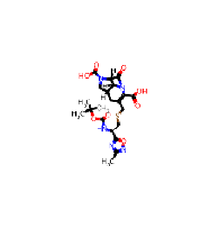 Cc1noc([C@H](CSCC2=C(C(=O)O)N3C(=O)[C@@H]4[C@H]3[C@H](C2)CN4C(=O)O)NC(=O)OC(C)(C)C)n1